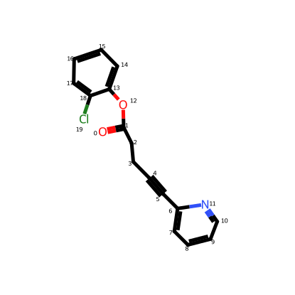 O=C(CCC#Cc1ccccn1)Oc1ccccc1Cl